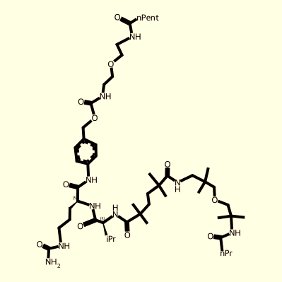 CCCCCC(=O)NCCOCCNC(=O)OCc1ccc(NC(=O)[C@H](CCCNC(N)=O)NC(=O)[C@@H](NC(=O)C(C)(C)CCC(C)(C)C(=O)NCC(C)(C)COCC(C)(C)NC(=O)CCC)C(C)C)cc1